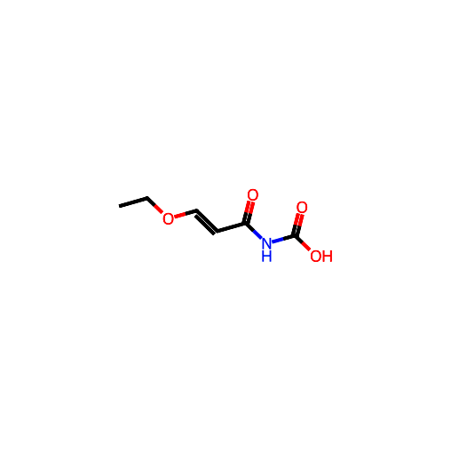 CCOC=CC(=O)NC(=O)O